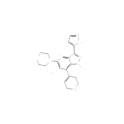 C[C@@H]1COCCN1c1cc(C2=CCNCC2)c2c(n1)c(-c1ccn[nH]1)nn2C